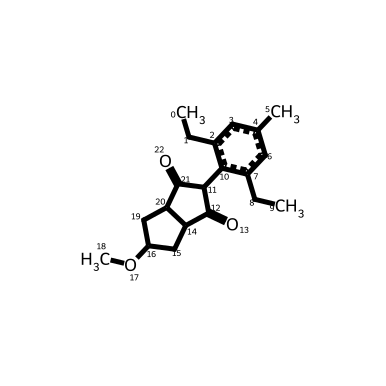 CCc1cc(C)cc(CC)c1C1C(=O)C2CC(OC)CC2C1=O